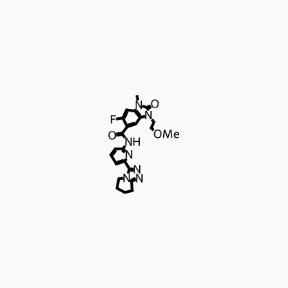 COCCn1c(=O)n(C)c2cc(F)c(C(=O)Nc3cccc(-c4nnc5n4CCCC5)n3)cc21